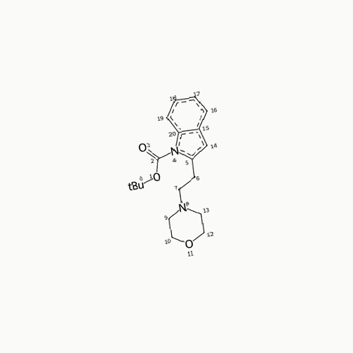 CC(C)(C)OC(=O)n1c(CCN2CCOCC2)cc2ccccc21